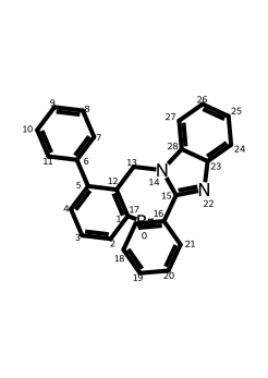 Brc1cccc(-c2ccccc2)c1Cn1c(-c2ccccc2)nc2ccccc21